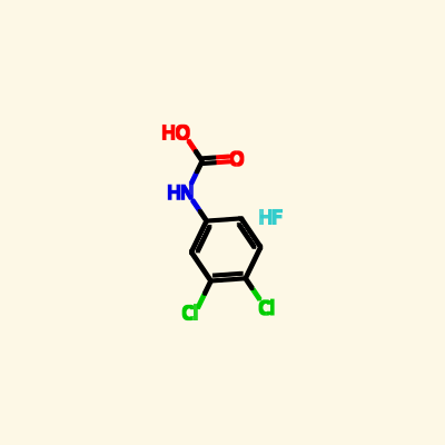 F.O=C(O)Nc1ccc(Cl)c(Cl)c1